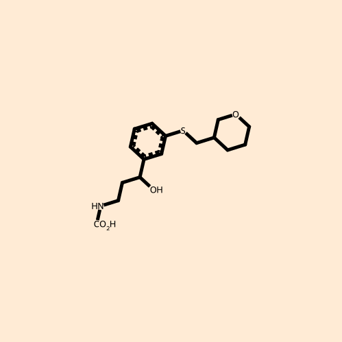 O=C(O)NCCC(O)c1cccc(SCC2CCCOC2)c1